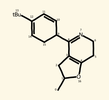 CC1CC2=C(CCN=C2C2C=CC(C(C)(C)C)=CC2)O1